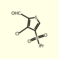 CC(C)S(=O)(=O)c1csc(C=O)c1Cl